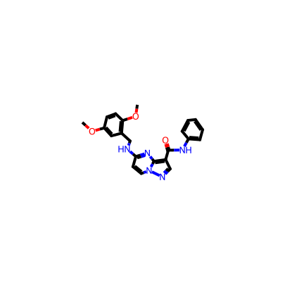 COc1ccc(OC)c(CNc2ccn3ncc(C(=O)Nc4ccccc4)c3n2)c1